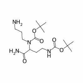 CC(C)(C)OC(=O)NCCC(C(N)=O)N(CCCN)C(=O)OC(C)(C)C